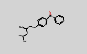 CC(=O)C(C)CC(CCc1ccc(C(=O)c2ccccc2)cc1)C(C)=O